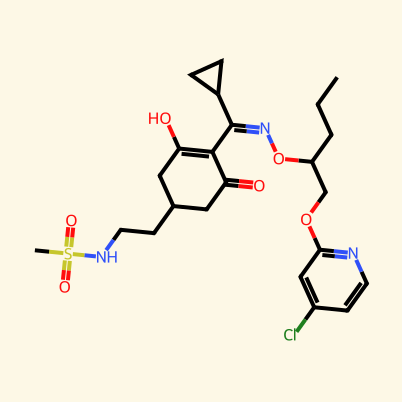 CCCC(COc1cc(Cl)ccn1)ON=C(C1=C(O)CC(CCNS(C)(=O)=O)CC1=O)C1CC1